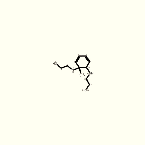 CC1(NCCO)C=CC=CC1NCCO